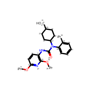 CC(C)Oc1ccc(NC(=O)N(c2ccccc2C(C)C)C2CCC(C(=O)O)CC2)c(OC(C)C)n1